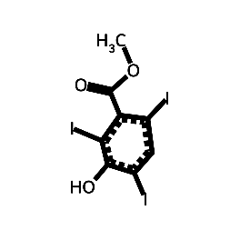 COC(=O)c1c(I)cc(I)c(O)c1I